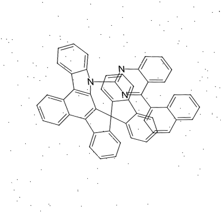 c1ccc2c(c1)-c1ccccc1C21c2ccccc2-c2c1c1c(c3ccccc23)c2ccccc2n1-c1nc(-c2cccc3ccccc23)c2ccccc2n1